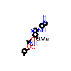 COc1cc2c(Nc3ccc4[nH]ccc4c3)ccnc2cc1OCC1(NC(=O)OCc2cccc(C)c2)CC1